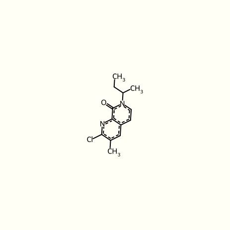 CCC(C)n1ccc2cc(C)c(Cl)nc2c1=O